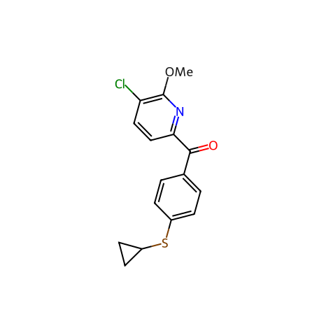 COc1nc(C(=O)c2ccc(SC3CC3)cc2)ccc1Cl